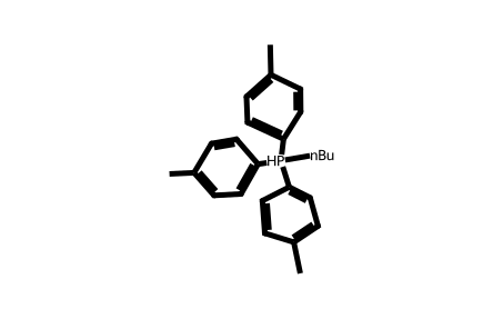 CCCC[PH](c1ccc(C)cc1)(c1ccc(C)cc1)c1ccc(C)cc1